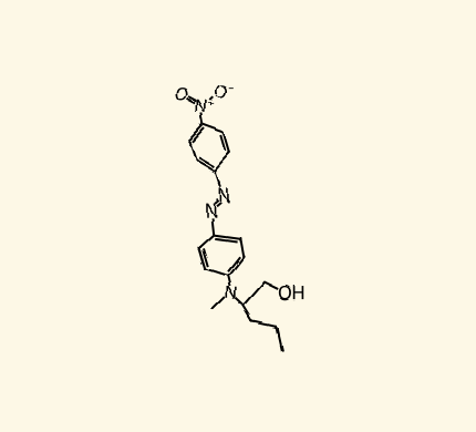 CCCC(CO)N(C)c1ccc(N=Nc2ccc([N+](=O)[O-])cc2)cc1